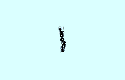 CC(C)(O)CCS(=O)(=O)N1CC=C(c2ccc3nc(OC4CCN(S(=O)(=O)CC(C)(F)F)CC4)sc3c2)CC1